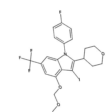 COCOc1cc(C(F)(F)F)cc2c1c(I)c(C1CCOCC1)n2-c1ccc(F)cc1